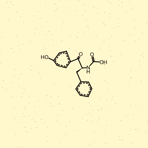 O=C(O)N[C@@H](Cc1ccccc1)C(=O)c1ccc(O)cc1